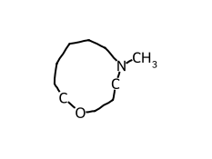 CN1CCCCCCOCCC1